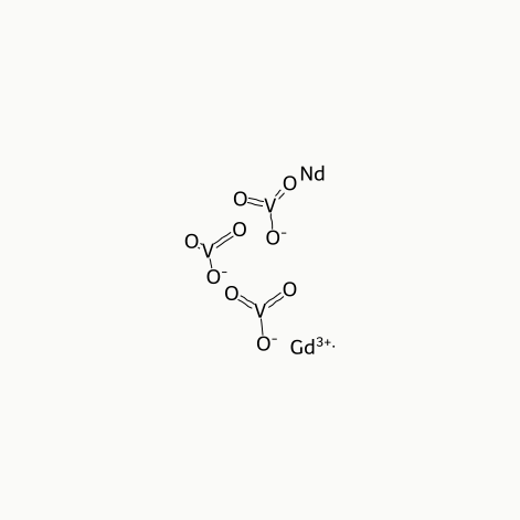 [Gd+3].[Nd].[O]=[V](=[O])[O-].[O]=[V](=[O])[O-].[O]=[V](=[O])[O-]